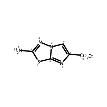 CCOC(=O)c1cn2nc(N)sc2n1